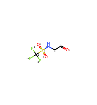 O=[C]CNS(=O)(=O)C(F)(F)F